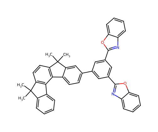 CC1(C)c2ccccc2-c2c1ccc1c2-c2ccc(-c3cc(-c4nc5ccccc5o4)cc(-c4nc5ccccc5o4)c3)cc2C1(C)C